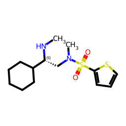 CN[C@H](CN(C)S(=O)(=O)c1cccs1)C1CCCCC1